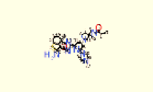 C=CC(=O)N1CC2(CCN(c3cc(-c4noc(C5(C)CCCc6sc(N)c(C#N)c65)n4)nc(N4CCN(C)CC4)c3)C2)C1